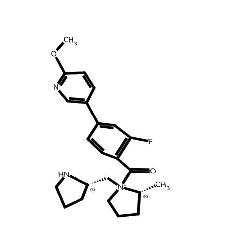 COc1ccc(-c2ccc(C(=O)[N+]3(C[C@@H]4CCCN4)CCC[C@H]3C)c(F)c2)cn1